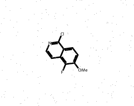 COc1ccc2c(Cl)nccc2c1F